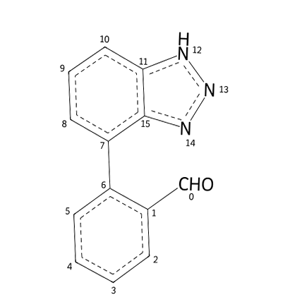 O=Cc1ccccc1-c1cccc2[nH]nnc12